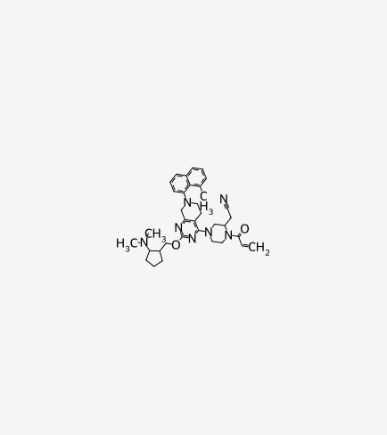 C=CC(=O)N1CCN(c2nc(OCC3CCCC3N(C)C)nc3c2CCN(c2cccc4cccc(C)c24)C3)CC1CC#N